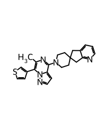 Cc1nc(N2CCC3(CC2)Cc2cccnc2C3)c2ccnn2c1-c1ccsc1